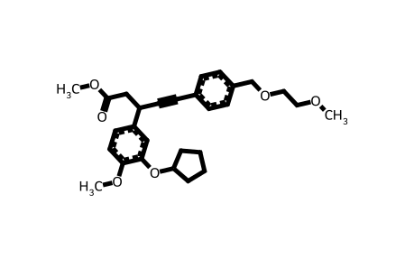 COCCOCc1ccc(C#CC(CC(=O)OC)c2ccc(OC)c(OC3CCCC3)c2)cc1